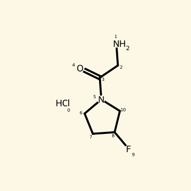 Cl.NCC(=O)N1CCC(F)C1